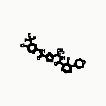 C[C@@H](NC(=O)c1ncnc(N2CCOCC2)c1F)c1ncc(C(=O)Nc2cc(C(F)(F)F)c(Cl)cn2)s1